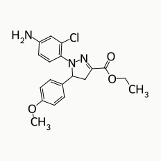 CCOC(=O)C1=NN(c2ccc(N)cc2Cl)C(c2ccc(OC)cc2)C1